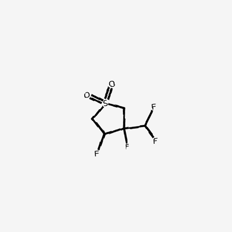 O=S1(=O)CC(F)C(F)(C(F)F)C1